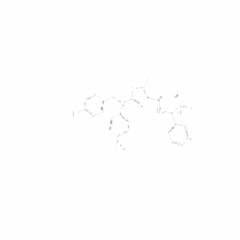 Cc1sc(N(Cc2ccc(F)cc2)c2ccc(C#N)cc2)nc1C(=O)NC(c1cccnc1)[SH](=O)=O